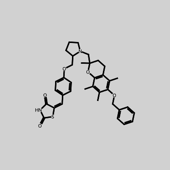 Cc1c(C)c2c(c(C)c1OCc1ccccc1)CCC(C)(CN1CCCC1COc1ccc(C=C3SC(=O)NC3=O)cc1)O2